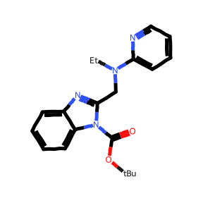 CCN(Cc1nc2ccccc2n1C(=O)OC(C)(C)C)c1ccccn1